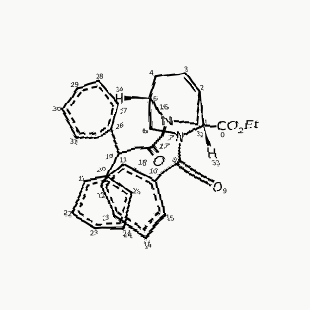 CCOC(=O)[C@H]1C2=CC[C@@H](CN1C(=O)c1ccccc1)N(C(=O)C(c1ccccc1)c1ccccc1)C2